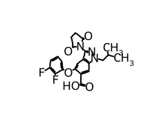 CC(C)Cn1nc(N2C(=O)CCC2=O)c2cc(Oc3cccc(F)c3F)c(C(=O)O)cc21